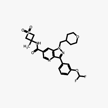 CC1(NC(=O)c2cnc3c(-c4cccc(OC(F)F)c4)nn(CC4CCOCC4)c3c2)CS(=O)(=O)C1